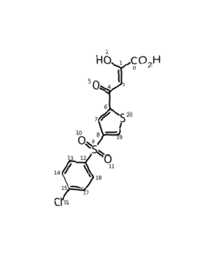 O=C(O)C(O)=CC(=O)c1cc(S(=O)(=O)c2ccc(Cl)cc2)cs1